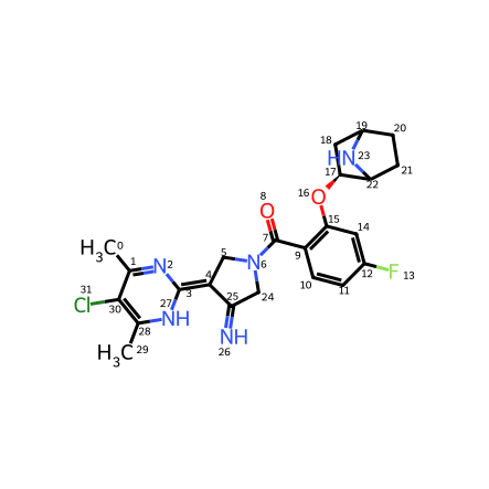 CC1=N/C(=C2\CN(C(=O)c3ccc(F)cc3O[C@H]3CC4CCC3N4)CC2=N)NC(C)=C1Cl